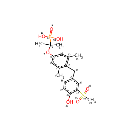 Cc1cc(OC(C)(C)P(=O)(O)O)cc(C)c1Cc1ccc(O)c(S(C)(=O)=O)c1